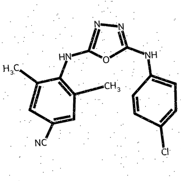 Cc1cc(C#N)cc(C)c1Nc1nnc(Nc2ccc(Cl)cc2)o1